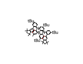 Cc1ccc2c(c1)B1c3cc(C(C)(C)C)ccc3N(c3ccc(C(C)(C)C)cc3-c3ccc4c(c3)C(C)(C)CC4(C)C)c3cc(C(C)(C)C)cc(c31)N2c1ccc(C(C)(C)C)cc1-c1ccc2c(c1)C(C)(C)CC2(C)C